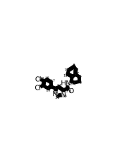 O=C(N[C@@H]1CCCc2ccccc21)c1cc(-c2ccc(Cl)c(Cl)c2)ncn1